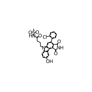 CS(=O)(=O)NC(=O)CCCn1c2ccc(O)cc2c2c3c(c(-c4ccccc4Cl)cc21)C(=O)NC3=O